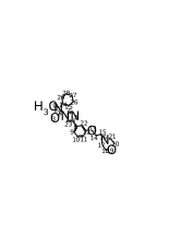 CN(C(=O)n1cnc(-c2cccc(OCCN3CCOCC3)c2)c1)C1CCCCC1